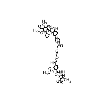 CC(=O)Nc1cc(NCCOCCOCCC(=O)N2CCN(c3ccc(Nc4ncc5c(C)c(C(C)=O)c(=O)n(C6CCCC6)c5n4)nc3)CC2)ccc1C(=O)Nc1nc(C)c([N+](=O)[O-])s1